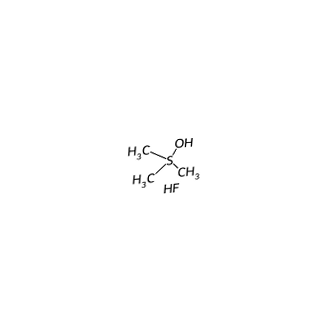 CS(C)(C)O.F